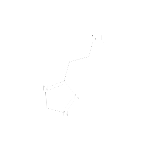 NCCC1=NCN=N1